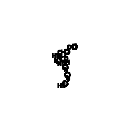 O=C(c1ccc(Oc2ccccc2)cc1Cl)c1c[nH]c2ncnc(NC3CCN(C4CCN(CC5CCNCC5)CC4)CC3)c12